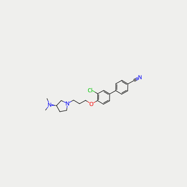 CN(C)[C@@H]1CCN(CCCOc2ccc(-c3ccc(C#N)cc3)cc2Cl)C1